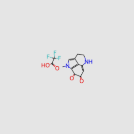 Cn1cc2c3c1C(=O)C(=O)C=C3NCC2.O=C(O)C(F)(F)F